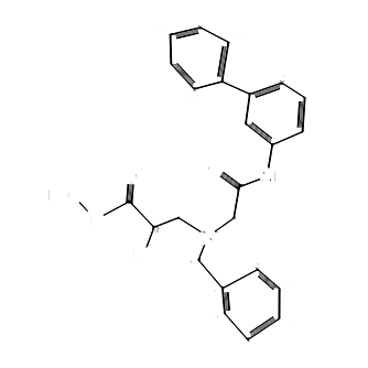 COC(=O)C(Cl)CN(CC(=O)Nc1cccc(-c2ccccc2)c1)Cc1ccccc1